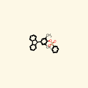 Cc1cc(C2c3ccccc3-c3ccccc32)cc(C)c1OS(=O)(=O)c1ccccc1